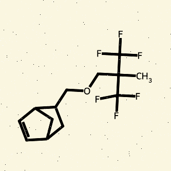 CC(COCC1CC2C=CC1C2)(C(F)(F)F)C(F)(F)F